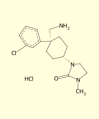 CN1CCN([C@H]2CC[C@](CN)(c3cccc(Cl)c3)CC2)C1=O.Cl